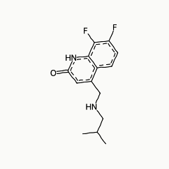 CC(C)CNCc1cc(=O)[nH]c2c(F)c(F)ccc12